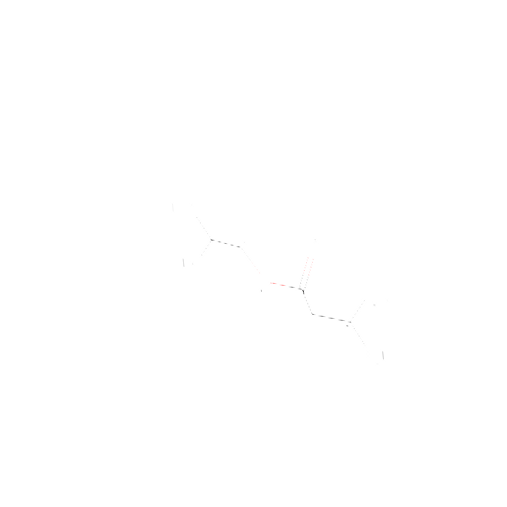 [CH2]C(C)COC(=O)CC(C)C